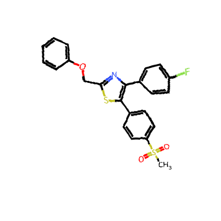 CS(=O)(=O)c1ccc(-c2sc(COc3ccccc3)nc2-c2ccc(F)cc2)cc1